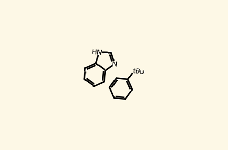 CC(C)(C)c1ccccc1.c1ccc2[nH]cnc2c1